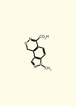 Cn1ncc2c3c(ccc21)C(C(=O)O)=NOC3